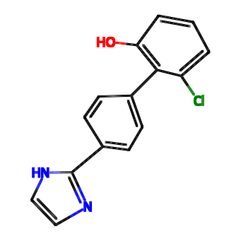 Oc1cccc(Cl)c1-c1ccc(-c2ncc[nH]2)cc1